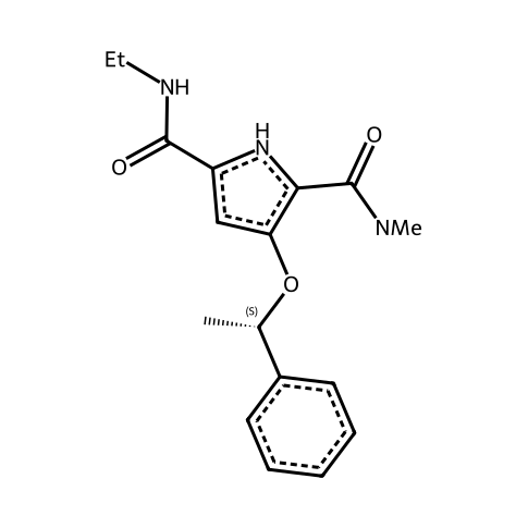 CCNC(=O)c1cc(O[C@@H](C)c2ccccc2)c(C(=O)NC)[nH]1